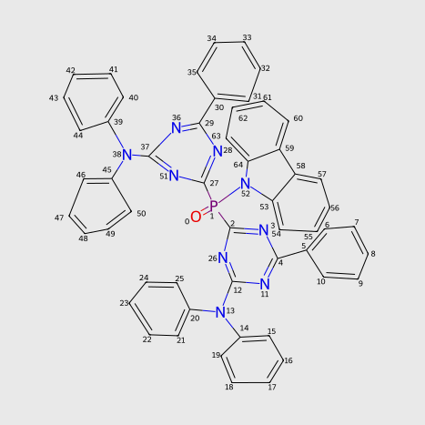 O=P(c1nc(-c2ccccc2)nc(N(c2ccccc2)c2ccccc2)n1)(c1nc(-c2ccccc2)nc(N(c2ccccc2)c2ccccc2)n1)n1c2ccccc2c2ccccc21